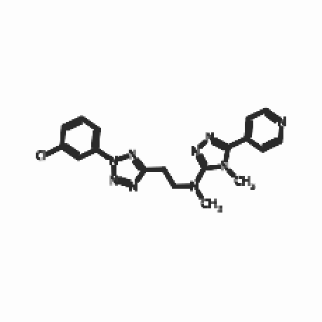 CN(CCc1nnn(-c2cccc(Cl)c2)n1)c1nnc(-c2ccncc2)n1C